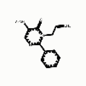 C=CCn1c(-c2ccccc2)ncc(NC(C)=O)c1=O